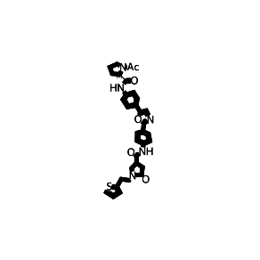 CC(=O)N1CCC[C@H]1C(=O)Nc1ccc(-c2cnc(-c3ccc(NC(=O)C4CC(=O)N(CCc5cccs5)C4)cc3)o2)cc1